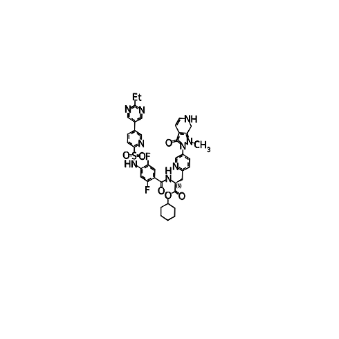 CCc1ncc(-c2ccc(S(=O)(=O)Nc3cc(F)c(C(=O)N[C@@H](Cc4ccc(-n5c(=O)c6c(n5C)CNC=C6)cn4)C(=O)OC4CCCCC4)cc3F)nc2)cn1